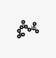 c1ccc(-c2cc(-c3cccc(-c4ccc5c(c4)c4cc(-c6cccc(-n7c8ccccc8c8ccccc87)c6)ccc4n5-c4ccccc4)c3)nc(-c3ccccc3)n2)cc1